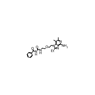 CCc1nc2c(N)nc(C)c(C)c2n1CCOCCNC(=O)NC(=O)c1ccccc1